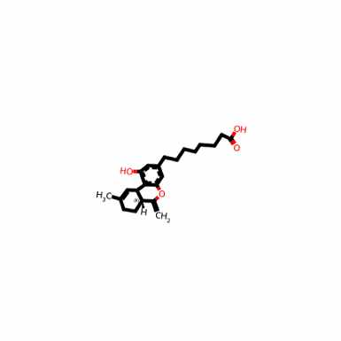 C=C1Oc2cc(CCCCCCCC(=O)O)cc(O)c2C2C=C(C)CC[C@@H]12